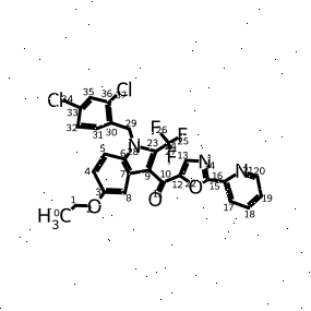 CCOc1ccc2c(c1)c(C(=O)c1cnc(-c3ccccn3)o1)c(C(F)(F)F)n2Cc1ccc(Cl)cc1Cl